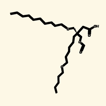 CCCCCCCCCCOC[C@@](CCCCCCOCCCCC)(COC=O)CC(=O)O